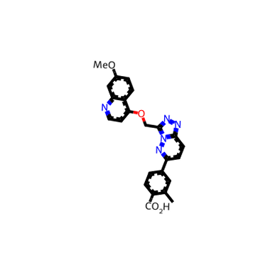 COc1ccc2c(OCc3nnc4ccc(-c5ccc(C(=O)O)c(C)c5)nn34)ccnc2c1